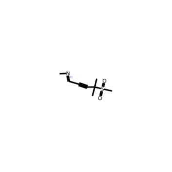 C/N=C/C#CC(C)(C)S(C)(=O)=O